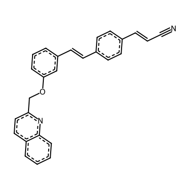 N#CC=Cc1ccc(C=Cc2cccc(OCc3ccc4ccccc4n3)c2)cc1